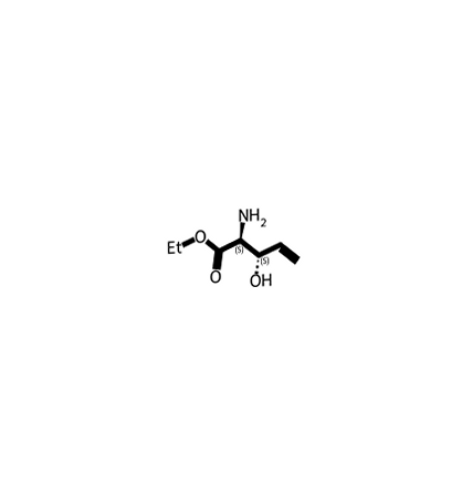 C=C[C@H](O)[C@H](N)C(=O)OCC